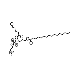 CCCCCCCCCCCCCCCC(=O)OCC(COP(=O)([O-])OCC[N+](C)(C)C)OC(=O)CCCC=O